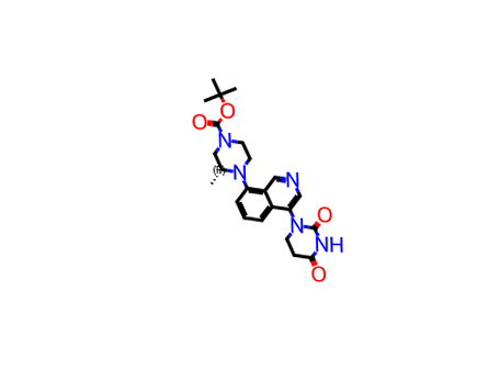 C[C@@H]1CN(C(=O)OC(C)(C)C)CCN1c1cccc2c(N3CCC(=O)NC3=O)cncc12